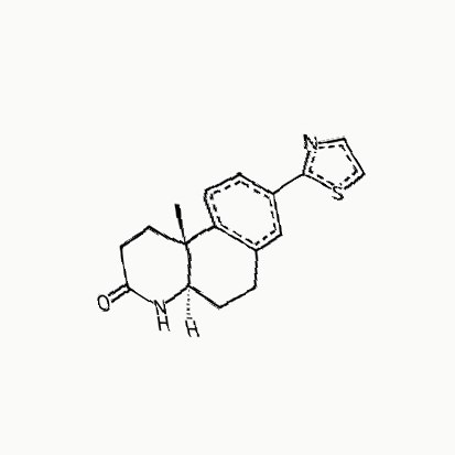 C[C@]12CCC(=O)N[C@@H]1CCc1cc(-c3nccs3)ccc12